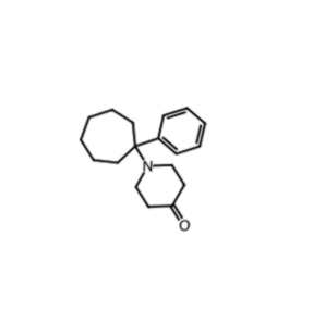 O=C1CCN(C2(c3ccccc3)CCCCCC2)CC1